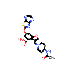 CC(=O)NC1CCN(Cc2coc3cc(Oc4nc5nccnc5s4)ccc23)CC1.O=CO